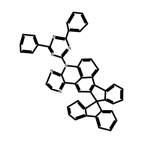 c1ccc(-c2nc(-c3ccccc3)nc(N3c4nccnc4-c4cc5c(c6cccc3c46)-c3ccccc3C53c4ccccc4-c4ccccc43)n2)cc1